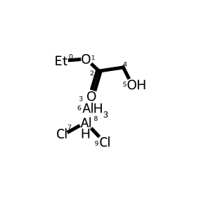 CCOC(=O)CO.[AlH3].[Cl][AlH][Cl]